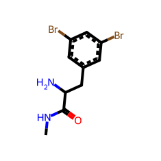 CNC(=O)C(N)Cc1cc(Br)cc(Br)c1